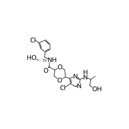 CC(CO)Nc1ncc(Cl)c(C2COC(C(=O)N[C@H](CO)c3cccc(Cl)c3)CO2)n1